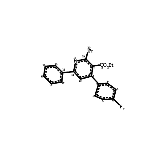 CCOC(=O)c1c(-c2ccc(F)cc2)cc(-c2ccccc2)nc1C(C)C